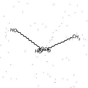 CCCCCCCCCCCCCCCCCC(=O)OCC(CO)OC(=O)CCCCCCCCCCCCCCCCCO